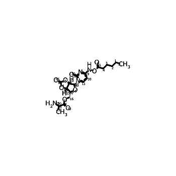 CCCCCC(=O)ONc1ccn([C@@H]2O[C@H](COC(=O)[C@@H](C)N)[C@H]3OC(=O)O[C@H]32)c(=O)n1